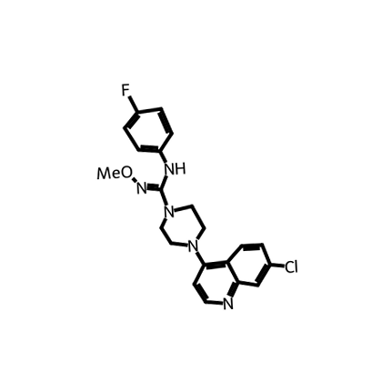 CO/N=C(\Nc1ccc(F)cc1)N1CCN(c2ccnc3cc(Cl)ccc23)CC1